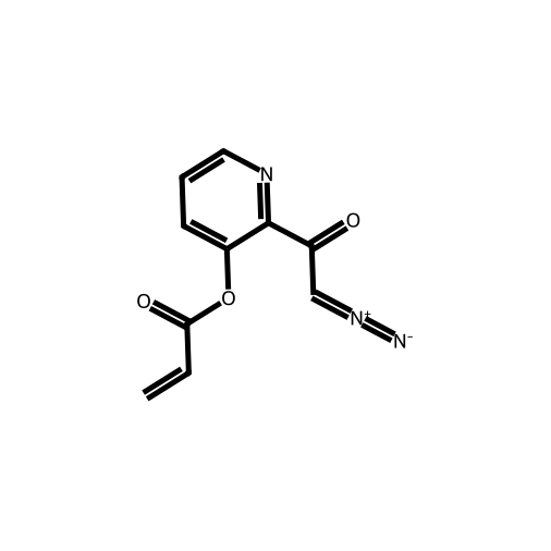 C=CC(=O)Oc1cccnc1C(=O)C=[N+]=[N-]